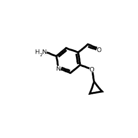 Nc1cc(C=O)c(OC2CC2)cn1